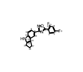 Fc1ccc(-c2nc(-c3ccc4[nH]c5c(c4c3)CC[CH]5)no2)c(F)c1